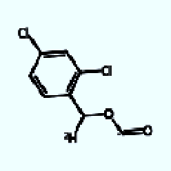 [2H]C(O[C]=O)c1ccc(Cl)cc1Cl